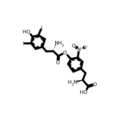 N[C@@H](Cc1ccc(OC(=O)[C@@H](N)Cc2cc(I)c(O)c(I)c2)c([N+](=O)[O-])c1)C(=O)O